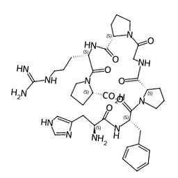 N=C(N)NCCC[C@H](NC(=O)[C@@H]1CCCN1C(=O)CNC(=O)[C@@H]1CCCN1C(=O)[C@H](Cc1ccccc1)NC(=O)[C@@H](N)Cc1c[nH]cn1)C(=O)N1CCC[C@H]1C(=O)O